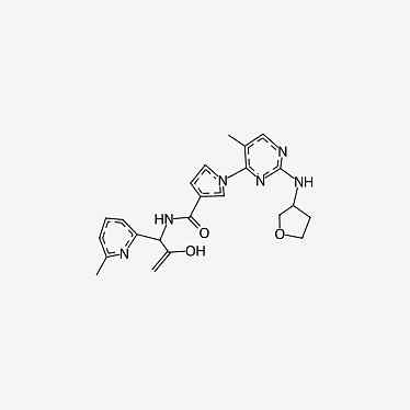 C=C(O)C(NC(=O)c1ccn(-c2nc(NC3CCOC3)ncc2C)c1)c1cccc(C)n1